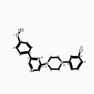 CCOc1ccc(-c2cncc(N3CCN(c4cccc(Cl)c4)CC3)n2)cc1